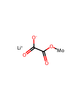 O=C([O-])C(=O)[O][Mo].[Li+]